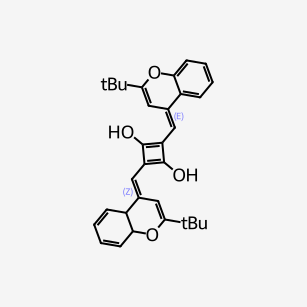 CC(C)(C)C1=C/C(=C\C2=C(O)C(/C=C3\C=C(C(C)(C)C)OC4C=CC=CC34)=C2O)c2ccccc2O1